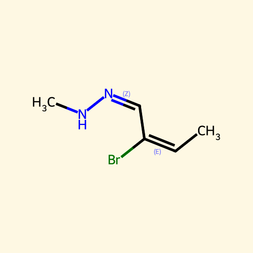 C/C=C(Br)\C=N/NC